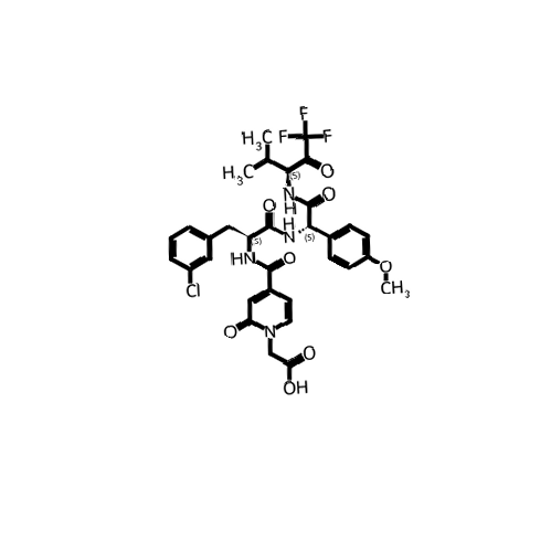 COc1ccc([C@H](NC(=O)[C@H](Cc2cccc(Cl)c2)NC(=O)c2ccn(CC(=O)O)c(=O)c2)C(=O)N[C@H](C(=O)C(F)(F)F)C(C)C)cc1